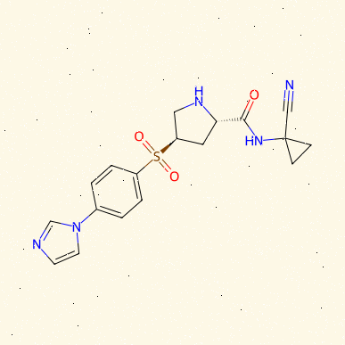 N#CC1(NC(=O)[C@@H]2C[C@@H](S(=O)(=O)c3ccc(-n4ccnc4)cc3)CN2)CC1